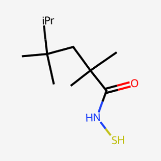 CC(C)C(C)(C)CC(C)(C)C(=O)NS